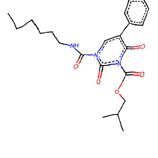 CCCCCCNC(=O)n1cc(-c2ccccc2)c(=O)n(C(=O)OCC(C)C)c1=O